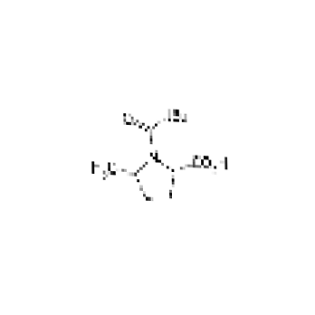 C[C@H]1CC[C@@H](C(=O)O)N1C(=O)C(C)(C)C